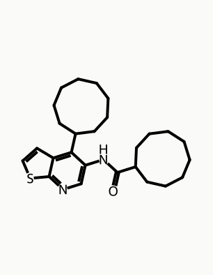 O=C(Nc1cnc2sccc2c1C1CCCCCCCC1)C1CCCCCCCC1